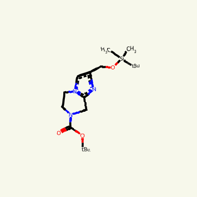 CC(C)(C)OC(=O)N1CCn2cc(CO[Si](C)(C)C(C)(C)C)nc2C1